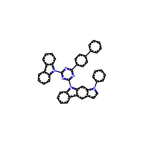 c1ccc(-c2ccc(-c3nc(-n4c5ccccc5c5ccccc54)nc(-n4c5ccccc5c5cc6ccn(-c7ccccc7)c6cc54)n3)cc2)cc1